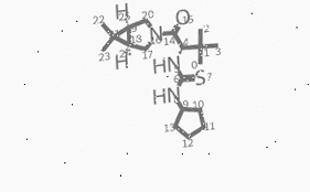 CC(C)(C)[C@H](NC(=S)NC1CCCC1)C(=O)N1C[C@@H]2[C@H](C1)C2(C)C